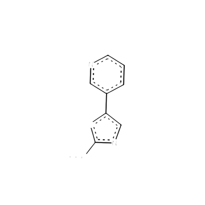 O=C([O-])c1ncc(-c2cccnc2)s1.[Li+]